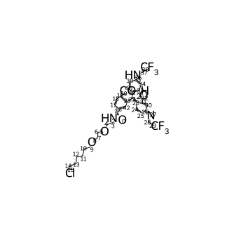 O=C(NCCOCCOCCCCCCCl)c1ccc(C(=O)O)c(-c2c3ccc(=NCC(F)(F)F)cc-3oc3cc(NCC(F)(F)F)ccc23)c1